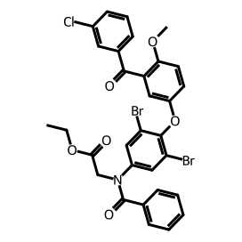 CCOC(=O)CN(C(=O)c1ccccc1)c1cc(Br)c(Oc2ccc(OC)c(C(=O)c3cccc(Cl)c3)c2)c(Br)c1